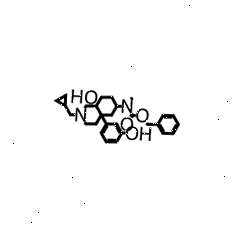 CN(C(=O)OCc1ccccc1)C1CCC2(O)CN(CC3CC3)CCC2(c2cccc(O)c2)C1